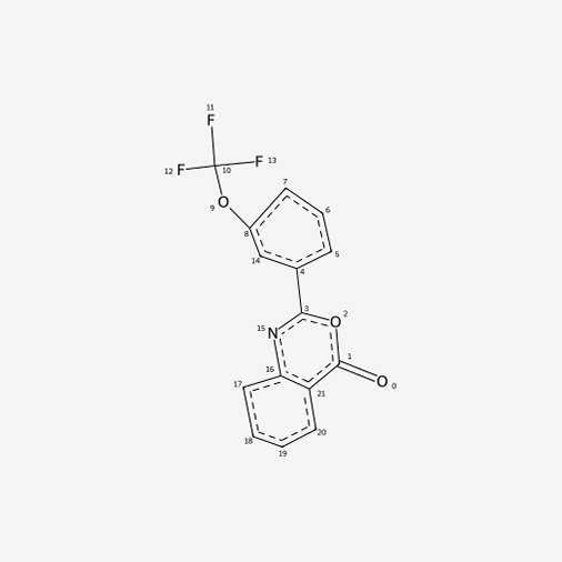 O=c1oc(-c2cccc(OC(F)(F)F)c2)nc2ccccc12